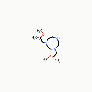 CO[C@@H](C)CN1CCNCCN(C[C@H](C)OC)CC1